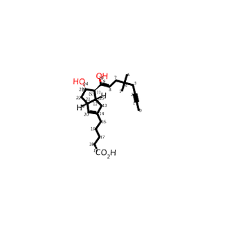 CC#CCC(C)(C)CC=C(O)[C@H]1[C@@H]2CC(CCCCC(=O)O)=C[C@@H]2C[C@@H]1O